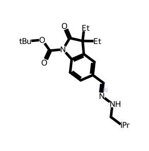 CCC1(CC)C(=O)N(C(=O)OC(C)(C)C)c2ccc(/C=N/NCC(C)C)cc21